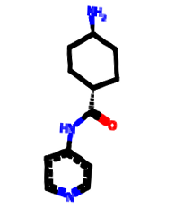 N[C@H]1CC[C@H](C(=O)Nc2ccncc2)CC1